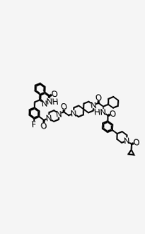 O=C(N[C@@H](C(=O)N1CCC2(CCN(CC(=O)N3CCN(C(=O)c4cc(Cc5n[nH]c(=O)c6ccccc56)ccc4F)CC3)CC2)CC1)C1CCCCC1)c1cccc(C2CCN(C(=O)C3CC3)CC2)c1